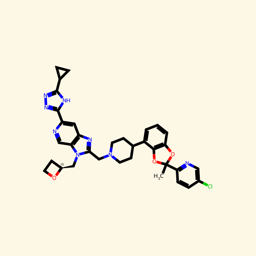 CC1(c2ccc(Cl)cn2)Oc2cccc(C3CCN(Cc4nc5cc(-c6nnc(C7CC7)[nH]6)ncc5n4C[C@@H]4CCO4)CC3)c2O1